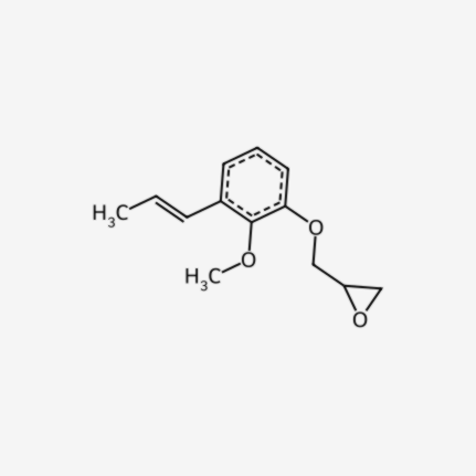 CC=Cc1cccc(OCC2CO2)c1OC